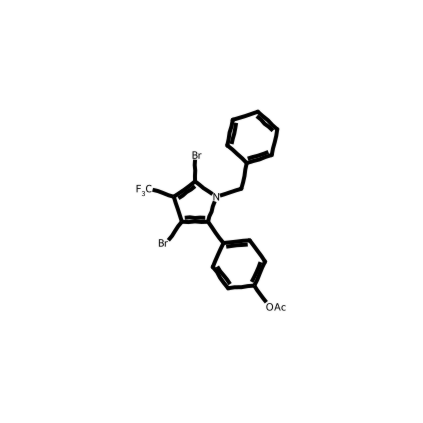 CC(=O)Oc1ccc(-c2c(Br)c(C(F)(F)F)c(Br)n2Cc2ccccc2)cc1